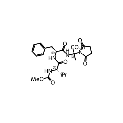 COC(=O)N[C@H](C(=O)N[C@@H](Cc1ccccc1)C(=O)N[C@](C)(C(=O)O)N1C(=O)CCC1=O)C(C)C